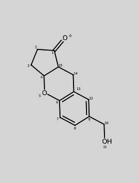 O=C1CCC2Oc3ccc(CO)cc3CC12